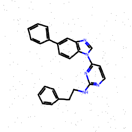 c1ccc(CCNc2nccc(-n3cnc4cc(-c5ccccc5)ccc43)n2)cc1